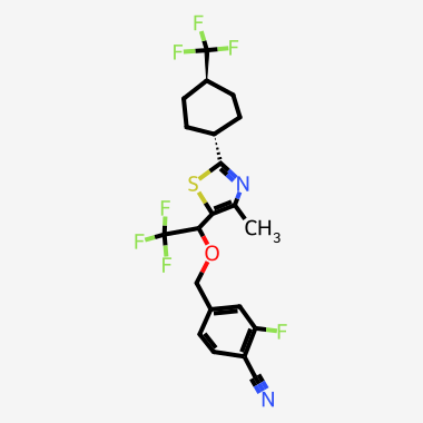 Cc1nc([C@H]2CC[C@H](C(F)(F)F)CC2)sc1C(OCc1ccc(C#N)c(F)c1)C(F)(F)F